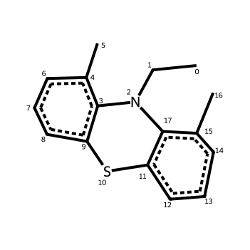 CCN1c2c(C)cccc2Sc2cccc(C)c21